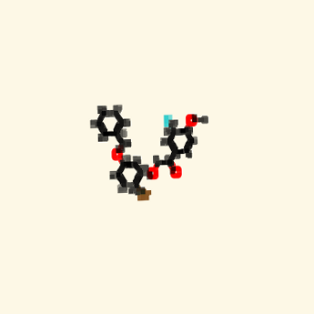 COc1ccc(C(=O)COc2cc(OCc3ccccc3)ccc2Br)cc1F